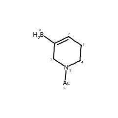 BC1=CCCN(C(C)=O)C1